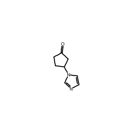 O=C1CCC(n2ccnc2)C1